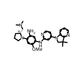 COc1cc(N2CCC[C@@H]2CN(C)C)c(N)cc1Nc1cc(N2CC(C)(C)c3ncccc32)ccn1